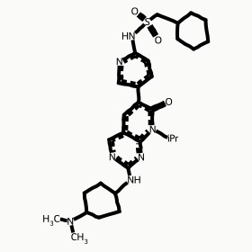 CC(C)n1c(=O)c(-c2ccc(NS(=O)(=O)CC3CCCCC3)nc2)cc2cnc(NC3CCC(N(C)C)CC3)nc21